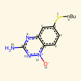 CCCCSc1ccc2c(c1)nc(N)n[n+]2[O-]